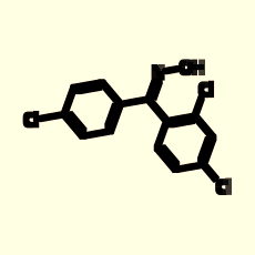 ON=C(c1ccc(Cl)cc1)c1ccc(Cl)cc1Cl